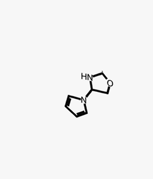 [CH]1NC(n2cccc2)CO1